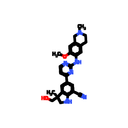 COc1cc2c(cc1Nc1nccc(-c3cc(C#N)c4c(c3)[C@@](C)(CO)CN4)n1)CCN(C)C2